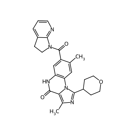 Cc1cc2c(cc1C(=O)N1CCc3cccnc31)[nH]c(=O)c1c(C)nc(C3CCOCC3)n12